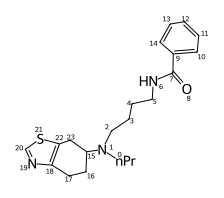 CCCN(CCCCNC(=O)c1ccccc1)C1CCc2ncsc2C1